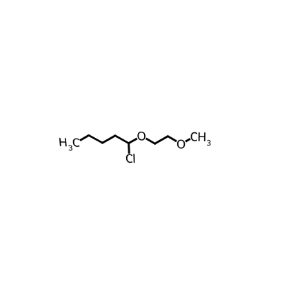 CCCCC(Cl)OCCOC